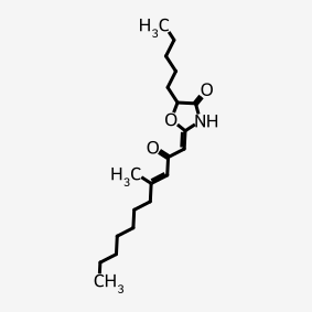 CCCCCCC/C(C)=C/C(=O)C=C1NC(=O)C(CCCCC)O1